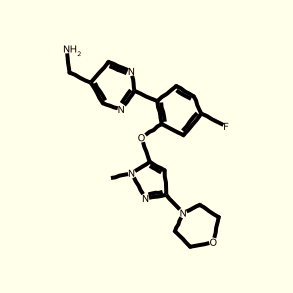 Cn1nc(N2CCOCC2)cc1Oc1cc(F)ccc1-c1ncc(CN)cn1